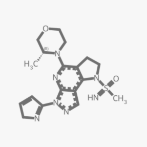 C[C@@H]1COCCN1c1nc2c(cnn2C2=NCC=C2)c2c1CCN2S(C)(=N)=O